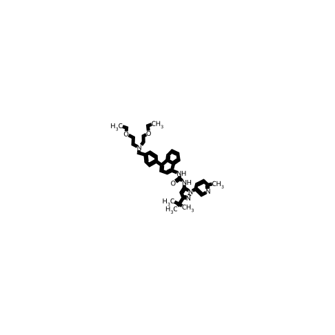 CCOCCN(CCOCC)Cc1ccc(-c2ccc(NC(=O)Nc3cc(C(C)(C)C)nn3-c3ccc(C)nc3)c3ccccc23)cc1